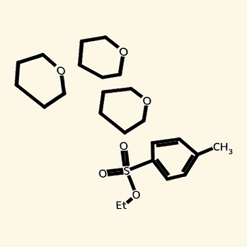 C1CCOCC1.C1CCOCC1.C1CCOCC1.CCOS(=O)(=O)c1ccc(C)cc1